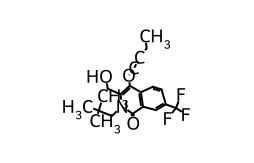 CCCCOc1c(CO)n(CC(C)(C)C)c(=O)c2cc(C(F)(F)F)ccc12